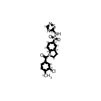 Cc1ccc(C(=O)N2CCc3cc(S(=O)(=O)Nc4ncns4)ccc32)cc1Cl